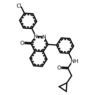 O=C(CC1CC1)Nc1cccc(-c2nn(-c3ccc(Cl)cc3)c(=O)c3ccccc23)c1